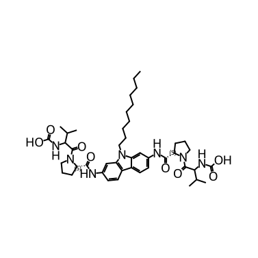 CCCCCCCCCCn1c2cc(NC(=O)[C@@H]3CCCN3C(=O)C(NC(=O)O)C(C)C)ccc2c2ccc(NC(=O)[C@@H]3CCCN3C(=O)C(NC(=O)O)C(C)C)cc21